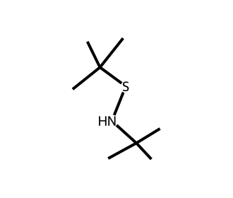 CC(C)(C)NSC(C)(C)C